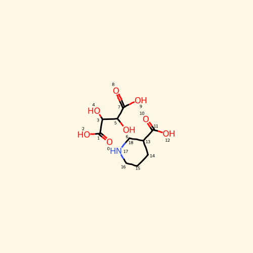 O=C(O)C(O)C(O)C(=O)O.O=C(O)C1CCCNC1